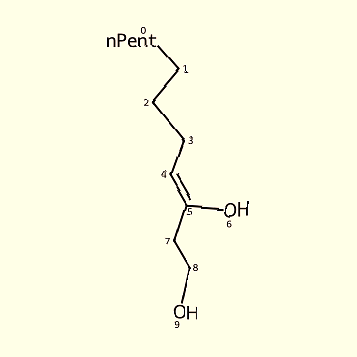 CCCCCCCCC=C(O)CCO